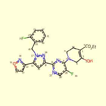 CCOC(=O)C1=C(O)CN(c2nc(-c3cc(-c4ccon4)n(Cc4ccccc4F)n3)ncc2F)CC1